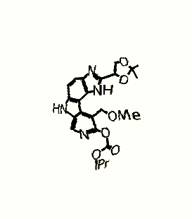 COCc1c(OC(=O)OC(C)C)ncc2[nH]c3ccc4nc(C5COC(C)(C)O5)[nH]c4c3c12